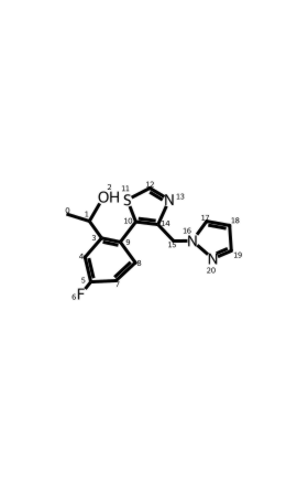 CC(O)c1cc(F)ccc1-c1scnc1Cn1cccn1